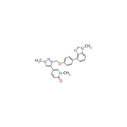 Cn1cc(-c2ccc(=O)n(C)c2)c(COc2ccc(-c3cccc4c3ncn4C)cc2)n1